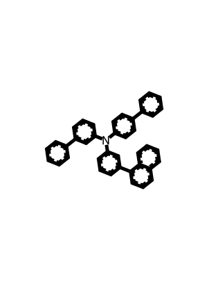 c1ccc(-c2ccc(N(c3cccc(-c4ccccc4)c3)c3cccc(-c4cccc5ccccc45)c3)cc2)cc1